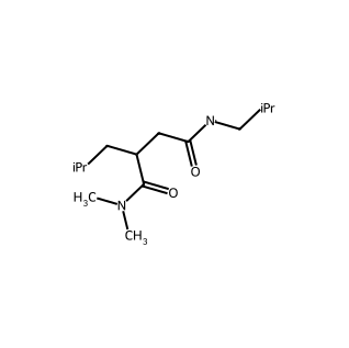 CC(C)C[N]C(=O)CC(CC(C)C)C(=O)N(C)C